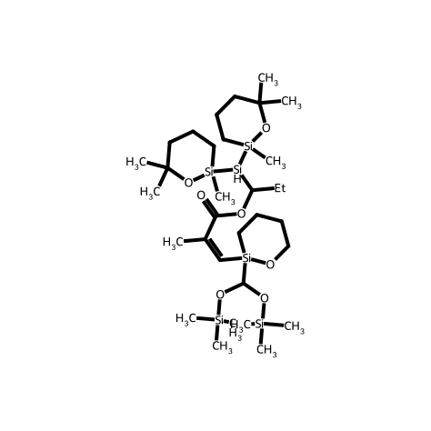 CCC(OC(=O)C(C)=C[Si]1(C(O[Si](C)(C)C)O[Si](C)(C)C)CCCCO1)[SiH]([Si]1(C)CCCC(C)(C)O1)[Si]1(C)CCCC(C)(C)O1